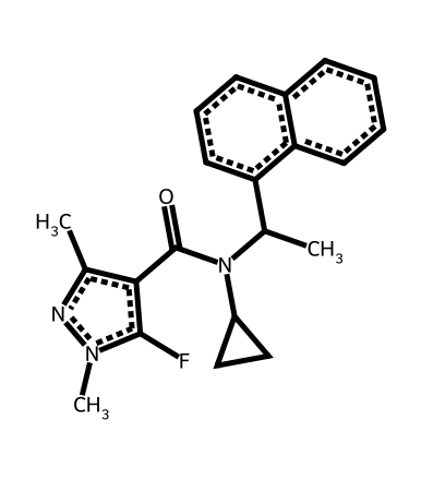 Cc1nn(C)c(F)c1C(=O)N(C1CC1)C(C)c1cccc2ccccc12